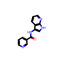 O=C(Nc1c[nH]c2ncc[c]c12)c1cccnc1